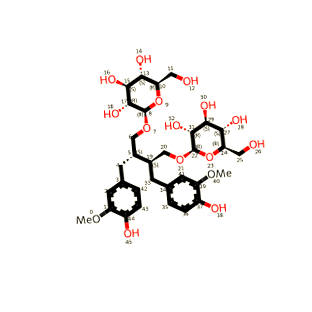 COc1cc(C[C@H](CO[C@@H]2O[C@H](CO)[C@@H](O)[C@H](O)[C@H]2O)[C@@H](CO[C@@H]2O[C@H](CO)[C@@H](O)[C@H](O)[C@H]2O)Cc2ccc(O)c(OC)c2)ccc1O